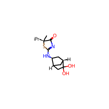 CC(C)[C@]1(C)SC(N[C@H]2C[C@H]3C[C@@H]2CC3(O)O)=NC1=O